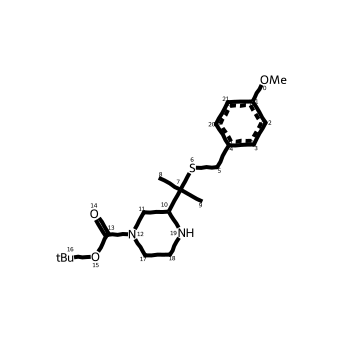 COc1ccc(CSC(C)(C)C2CN(C(=O)OC(C)(C)C)CCN2)cc1